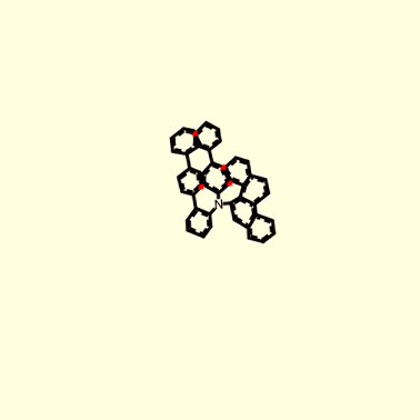 c1ccc(-c2ccc(-c3ccccc3N(c3ccc(-c4ccccc4)cc3)c3cc4ccccc4c4ccc5ccccc5c34)cc2)cc1